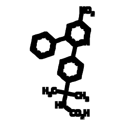 CC(C)(NC(=O)O)c1ccc(-c2ncc([N+](=O)[O-])cc2-c2ccccc2)cc1